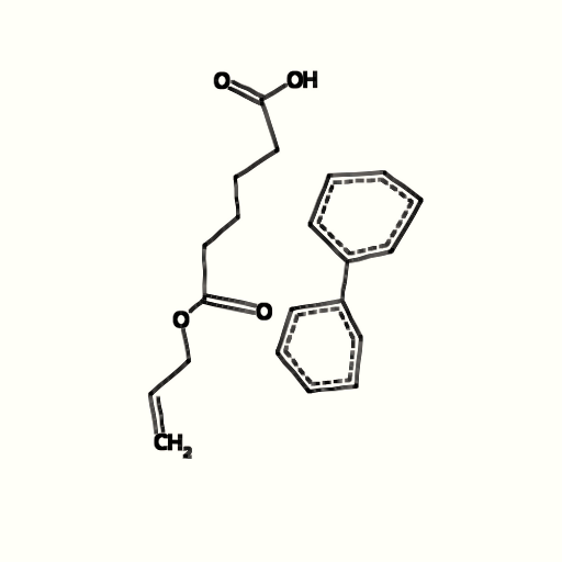 C=CCOC(=O)CCCCC(=O)O.c1ccc(-c2ccccc2)cc1